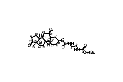 CC(C)(C)OC(=O)NCCNC(=O)O[C@H]1CC[C@@]2(C)C(C1)C(=O)C[C@@H]1[C@@H]2CC[C@]2(C)C(=O)CC[C@@H]12